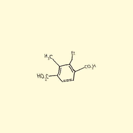 CCc1c(C(=O)O)ccc(C(=O)O)c1C